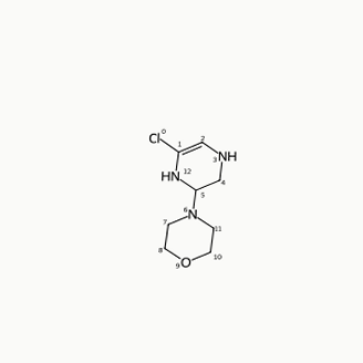 ClC1=CNCC(N2CCOCC2)N1